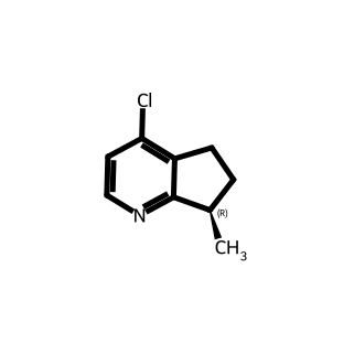 C[C@@H]1CCc2c(Cl)ccnc21